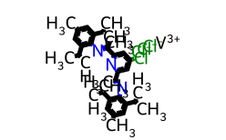 CC(=Nc1c(C(C)C)cc(C)cc1C(C)C)c1cc(Cl)cc(C(C)=Nc2c(C(C)C)cc(C)cc2C(C)C)n1.[Cl-].[Cl-].[Cl-].[V+3]